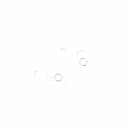 C[C@]1(C(=O)O)CCc2ccc(OCCCOc3ccc(OCC(F)(F)F)cc3Cl)cc2O1